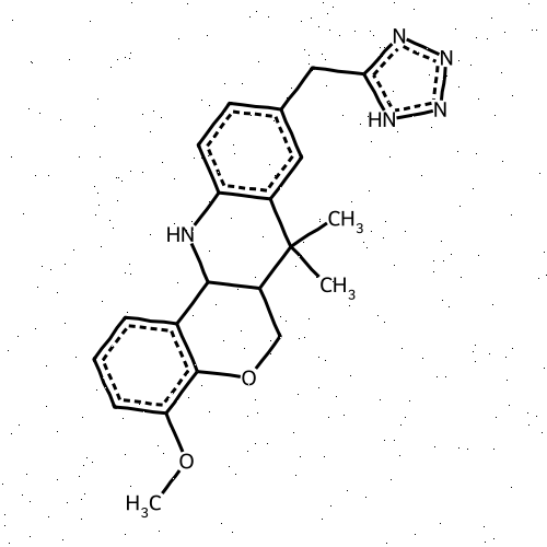 COc1cccc2c1OCC1C2Nc2ccc(Cc3nnn[nH]3)cc2C1(C)C